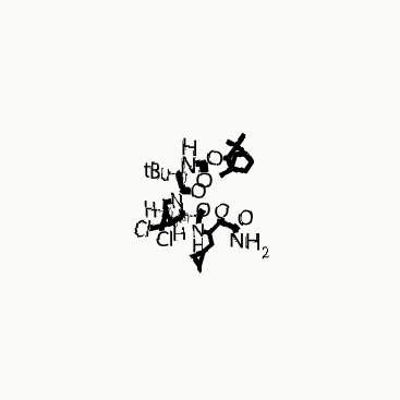 CC12CCC(C1)C(C)(C)C2OC(=O)N[C@H](C(=O)N1C[C@H]2[C@@H]([C@H]1C(=O)NC(CC1CC1)C(=O)C(N)=O)C2(Cl)Cl)C(C)(C)C